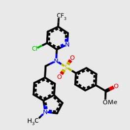 COC(=O)c1ccc(S(=O)(=O)N(Cc2ccc3c(ccn3C)c2)c2ncc(C(F)(F)F)cc2Cl)cc1